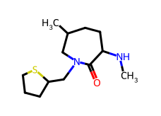 CNC1CCC(C)CN(CC2CCCS2)C1=O